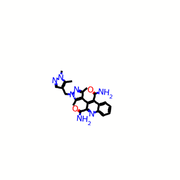 Cc1nn(Cc2cnn(C)c2C)c(C)c1-c1c(C(N)=O)nc2ccccc2c1C(N)=O